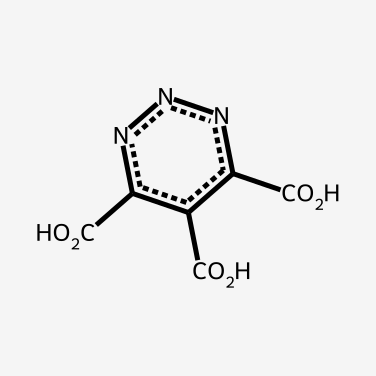 O=C(O)c1nnnc(C(=O)O)c1C(=O)O